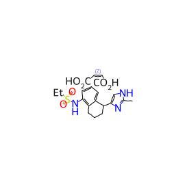 CCS(=O)(=O)Nc1cccc2c1CCCC2c1c[nH]c(C)n1.O=C(O)/C=C\C(=O)O